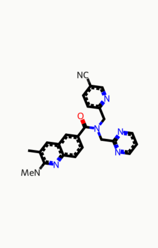 CNc1nc2ccc(C(=O)N(Cc3ccc(C#N)cn3)Cc3ncccn3)cc2cc1C